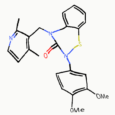 COc1ccc(N2Sc3ccccc3N(Cc3c(C)ccnc3C)C2=O)cc1OC